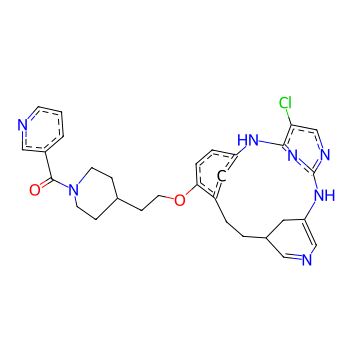 O=C(c1cccnc1)N1CCC(CCOc2ccc3cc2CCC2C=NC=C(C2)Nc2ncc(Cl)c(n2)N3)CC1